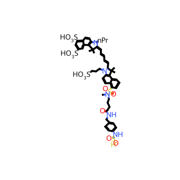 CCCN1/C(=C/C=C/C=C/C2=[N+](CCCS(=O)(=O)O)c3ccc4c(S(=O)(=O)N(C)CCCC(=O)NCc5ccc(N[SH](=O)=O)cc5)cccc4c3C2(C)C)C(C)(C)c2c1ccc1c(S(=O)(=O)O)cc(S(=O)(=O)O)cc21